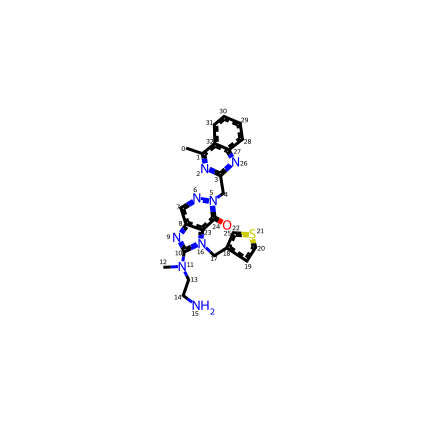 Cc1nc(Cn2ncc3nc(N(C)CCN)n(Cc4ccsc4)c3c2=O)nc2ccccc12